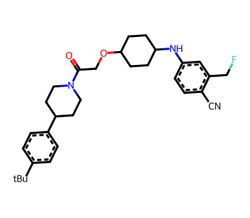 CC(C)(C)c1ccc(C2CCN(C(=O)COC3CCC(Nc4ccc(C#N)c(CF)c4)CC3)CC2)cc1